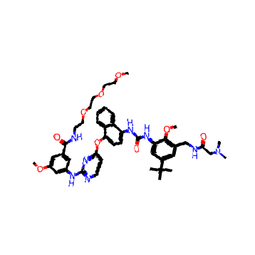 COCCOCCOCCNC(=O)c1cc(Nc2nccc(Oc3ccc(NC(=O)Nc4cc(C(C)(C)C)cc(CNC(=O)CN(C)C)c4OC)c4ccccc34)n2)cc(OC)c1